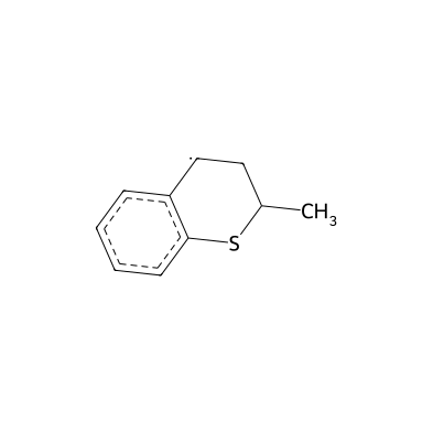 CC1C[CH]c2ccccc2S1